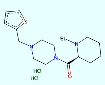 CCN1CCCC[C@H]1C(=O)N1CCN(Cc2cccs2)CC1.Cl.Cl